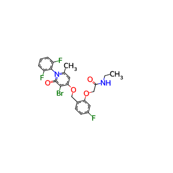 CCNC(=O)COc1cc(F)ccc1COc1cc(C)n(-c2c(F)cccc2F)c(=O)c1Br